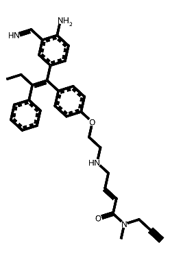 C#CCN(C)C(=O)/C=C/CNCCOc1ccc(/C(=C(/CC)c2ccccc2)c2ccc(N)c(C=N)c2)cc1